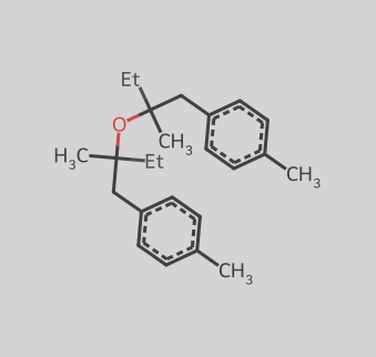 CCC(C)(Cc1ccc(C)cc1)OC(C)(CC)Cc1ccc(C)cc1